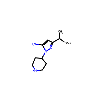 COC(C)c1cc(N)n(C2CCNCC2)n1